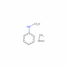 CCCCCC.O=C(O)Nc1ccccc1